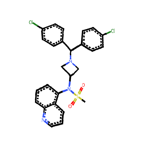 CS(=O)(=O)N(c1cccc2ncccc12)C1CN(C(c2ccc(Cl)cc2)c2ccc(Cl)cc2)C1